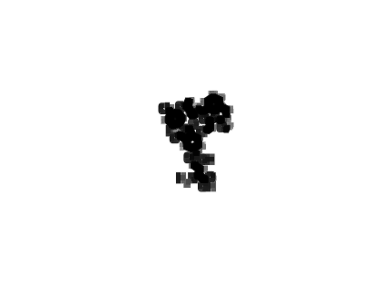 C#CC(C)Oc1cc(N2C(=O)C3=C(CCCC3)C2=O)c(F)cc1Cl.CCc1cccc(CC)c1N(COC)C(=O)CCl.CP(=O)(O)CCC(N)C(=O)O